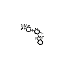 C=C(NC)N1CCN(c2cc(-c3nc4ccccc4n3C)c(F)cn2)CC1